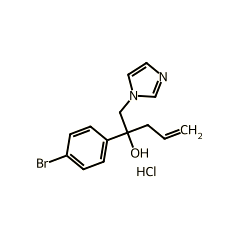 C=CCC(O)(Cn1ccnc1)c1ccc(Br)cc1.Cl